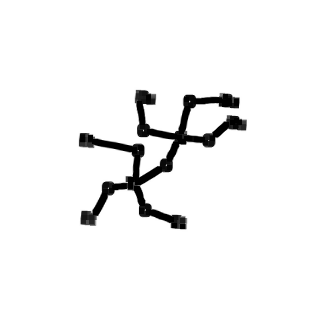 CC[O][Ti]([O]CC)([O]CC)[O][Si](OC(C)CC)(OC(C)CC)OC(C)CC